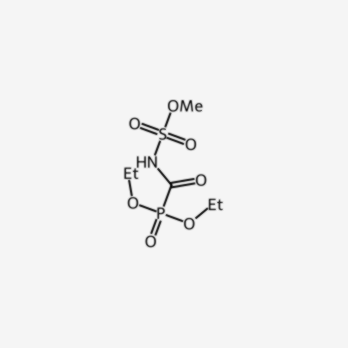 CCOP(=O)(OCC)C(=O)NS(=O)(=O)OC